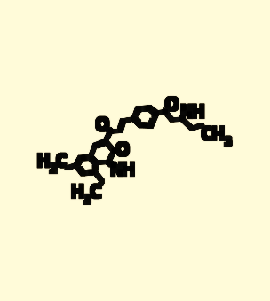 C=Cc1cc2c(c(CC)c1)C(=N)C(=O)C(C(=O)/C=C/c1ccc(C(=O)CC(=N)CCC)cc1)=C2